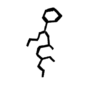 CCCCN(CC(C)CCC(CC)CCC)c1ccccc1